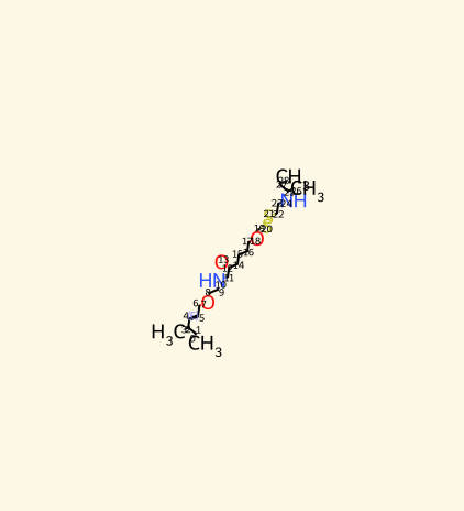 CCC(C)/C=C/COCCNCC(=O)CCCCOCSSCCNC(C)CC